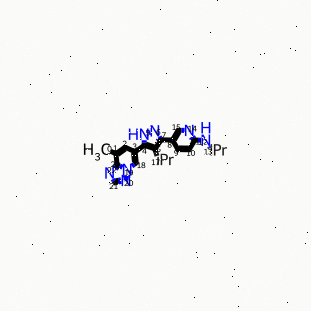 Cc1cc(-c2[nH]nc(-c3ccc(NC(C)C)nc3)c2C(C)C)cn2ncnc12